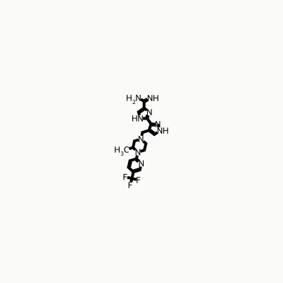 CC1CN(Cc2c[nH]nc2-c2nc(C(=N)N)c[nH]2)CCN1c1ccc(C(F)(F)F)cn1